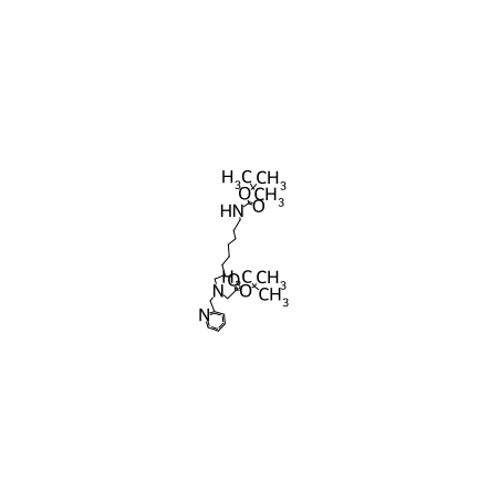 CC(C)(C)OC(=O)CN(CCCCCCCCNC(=O)OC(C)(C)C)Cc1ccccn1